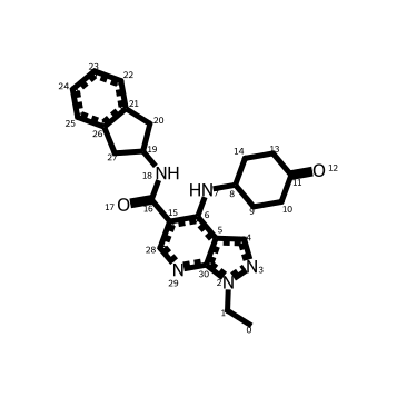 CCn1ncc2c(NC3CCC(=O)CC3)c(C(=O)NC3Cc4ccccc4C3)cnc21